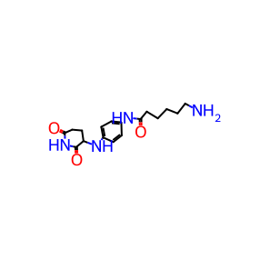 NCCCCCC(=O)Nc1ccc(NC2CCC(=O)NC2=O)cc1